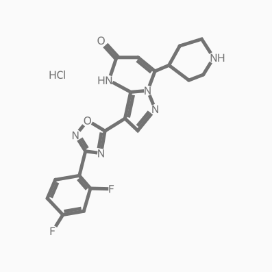 Cl.O=c1cc(C2CCNCC2)n2ncc(-c3nc(-c4ccc(F)cc4F)no3)c2[nH]1